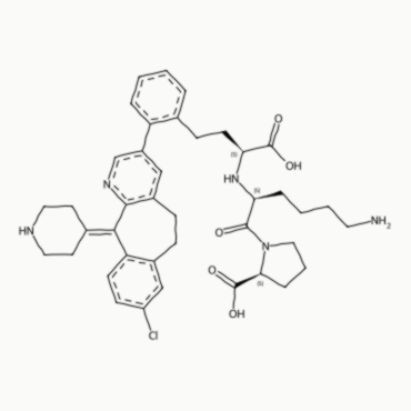 NCCCC[C@H](N[C@@H](CCc1ccccc1-c1cnc2c(c1)CCc1cc(Cl)ccc1C2=C1CCNCC1)C(=O)O)C(=O)N1CCC[C@H]1C(=O)O